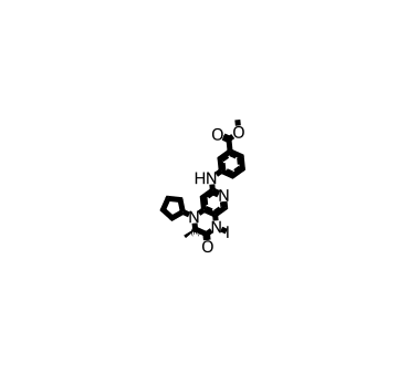 COC(=O)c1cccc(Nc2cc3c(cn2)N(I)C(=O)[C@@H](C)N3C2CCCC2)c1